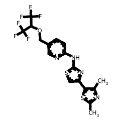 Cc1nc(C)c(-c2csc(Nc3ccc(COC(C(F)(F)F)C(F)(F)F)cn3)n2)s1